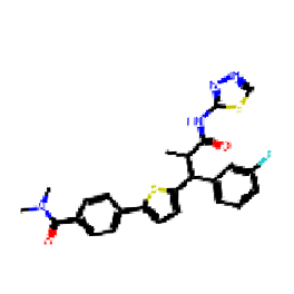 CC(C(=O)Nc1nncs1)C(c1cccc(F)c1)c1ccc(-c2ccc(C(=O)N(C)C)cc2)s1